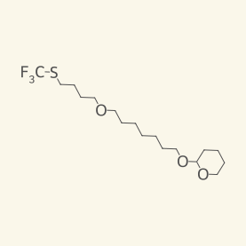 FC(F)(F)SCCCCOCCCCCCCOC1CCCCO1